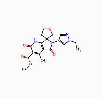 Cc1c2c([nH]c(=O)c1C(=O)OC(C)(C)C)C1(CCOC1)N(c1cnn(CC(F)(F)F)c1)C2=O